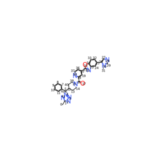 Cc1nnn([C@@H](c2ccccc2)C2CCN(C(=O)c3cc(-c4nc5cc(-c6cncn6C)ccc5o4)ccn3)CC2)n1